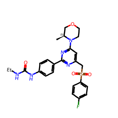 CCNC(=O)Nc1ccc(-c2nc(CS(=O)(=O)c3ccc(F)cc3)cc(N3CCOC[C@@H]3C)n2)cc1